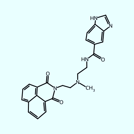 CN(CCNC(=O)c1ccc2[nH]cnc2c1)CCN1C(=O)c2cccc3cccc(c23)C1=O